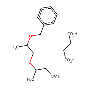 COCC(C)OCC(C)OCc1ccccc1.O=C(O)CCC(=O)O